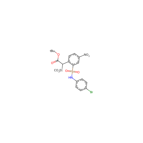 CCOC(=O)C(C(=O)OC(C)(C)C)c1ccc([N+](=O)[O-])cc1S(=O)(=O)Nc1ccc(Br)cc1